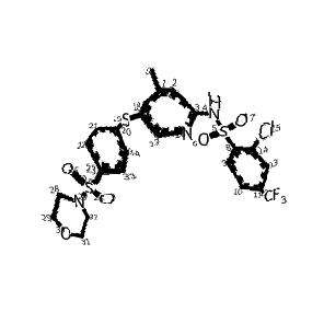 Cc1cc(NS(=O)(=O)c2ccc(C(F)(F)F)cc2Cl)ncc1Sc1ccc(S(=O)(=O)N2CCOCC2)cc1